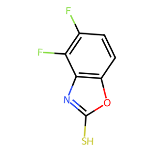 Fc1ccc2oc(S)nc2c1F